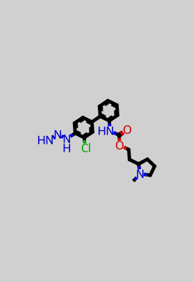 CN1CCCC1CCOC(=O)Nc1ccccc1-c1ccc(NN=N)c(Cl)c1